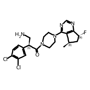 C[C@@H]1C[C@@H](F)c2ncnc(N3CCN(C(=O)[C@H](CN)c4ccc(Cl)c(Cl)c4)CC3)c21